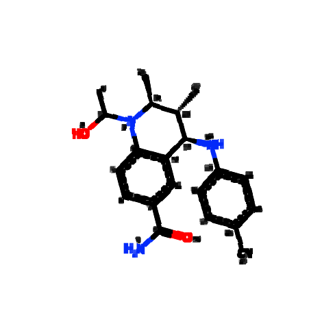 CC(O)N1c2ccc(C(N)=O)cc2[C@H](Nc2ccc(C#N)cc2)[C@@H](C)[C@@H]1C